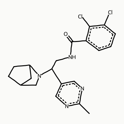 Cc1ncc(C(CNC(=O)c2cccc(Cl)c2Cl)N2CC3CCC2C3)cn1